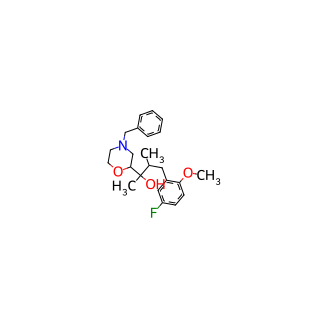 COc1ccc(F)cc1CC(C)C(C)(O)C1CN(Cc2ccccc2)CCO1